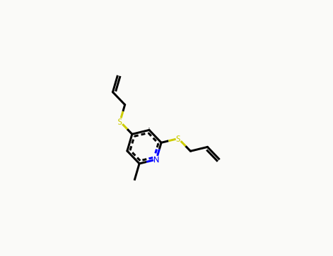 C=CCSc1[c]c(SCC=C)nc(C)c1